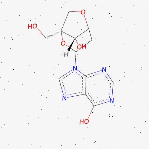 OC[C@@]12COC(CC(n3cnc4c(O)ncnc43)O1)[C@@H]2O